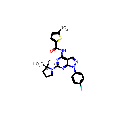 C[C@@]1(C(=O)O)CCCN1c1nc(NC(=O)c2ccc([N+](=O)[O-])s2)c2cnn(-c3ccc(F)cc3)c2n1